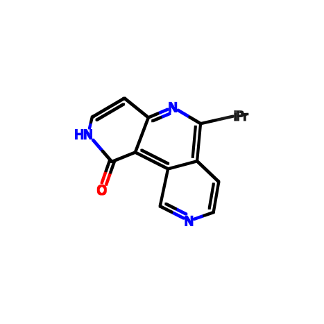 CC(C)c1nc2cc[nH]c(=O)c2c2cnccc12